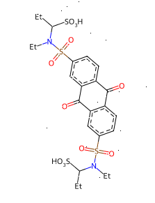 CCC(N(CC)S(=O)(=O)c1ccc2c(c1)C(=O)c1cc(S(=O)(=O)N(CC)C(CC)S(=O)(=O)O)ccc1C2=O)S(=O)(=O)O